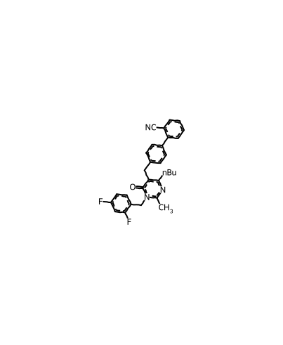 CCCCc1nc(C)n(Cc2ccc(F)cc2F)c(=O)c1Cc1ccc(-c2ccccc2C#N)cc1